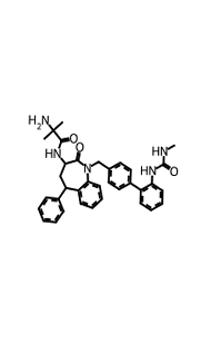 CNC(=O)Nc1ccccc1-c1ccc(CN2C(=O)C(NC(=O)C(C)(C)N)CC(c3ccccc3)c3ccccc32)cc1